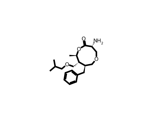 CC(C)COC[C@H]1[C@H](Cc2ccccc2)COC[C@@H](N)C(=O)O[C@@H]1C